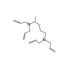 C=CCN(CC=C)CC[CH]C(C)N(CC=C)CC=C